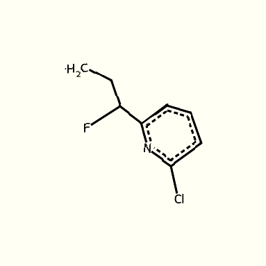 [CH2]CC(F)c1cccc(Cl)n1